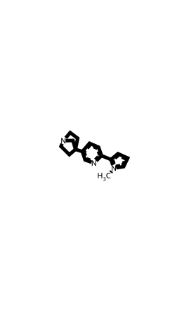 Cn1cccc1-c1ccc(C23CCN(CC2)C3)cn1